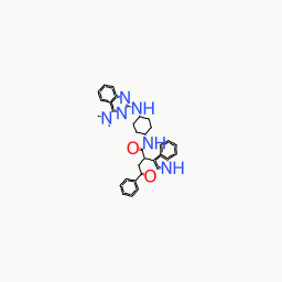 CN(C)c1nc(N[C@H]2CC[C@@H](NC(=O)C(CC(=O)c3ccccc3)c3c[nH]c4ccccc34)CC2)nc2ccccc12